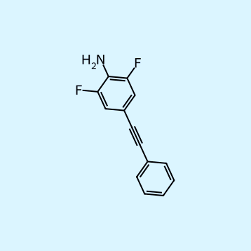 Nc1c(F)cc(C#Cc2ccccc2)cc1F